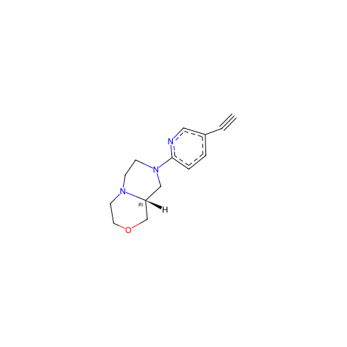 C#Cc1ccc(N2CCN3CCOC[C@H]3C2)nc1